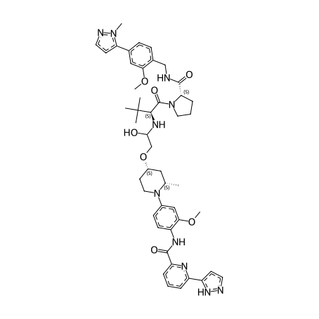 COc1cc(-c2ccnn2C)ccc1CNC(=O)[C@@H]1CCCN1C(=O)[C@@H](NC(O)CO[C@H]1CCN(c2ccc(NC(=O)c3cccc(-c4ccn[nH]4)n3)c(OC)c2)[C@@H](C)C1)C(C)(C)C